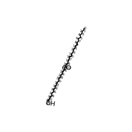 CCCCCCCCC=CCCCCCCCCCCCC(=O)OCCCCCCCCCCCCCCCCCCO